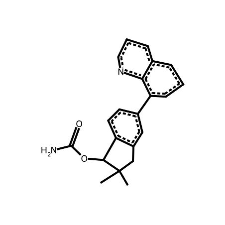 CC1(C)Cc2cc(-c3cccc4cccnc34)ccc2C1OC(N)=O